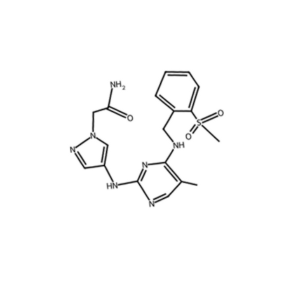 Cc1cnc(Nc2cnn(CC(N)=O)c2)nc1NCc1ccccc1S(C)(=O)=O